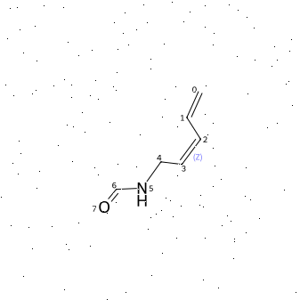 C=C/C=C\CNC=O